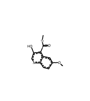 COC(=O)c1c(O)cnc2ccc(OC)cc12